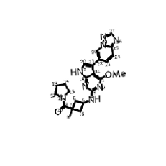 COc1nc(NC2CC(C)(C(=O)N3CCCC3)C2)nc2[nH]cc(-c3ccc4ncnn4c3)c12